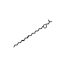 CCCCCC=CCC=CCCCCCCCCOCCC(C)C